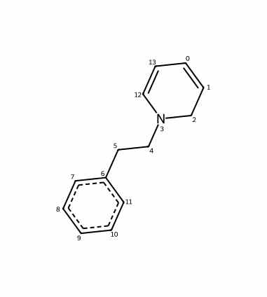 C1=CCN(CCc2ccccc2)C=C1